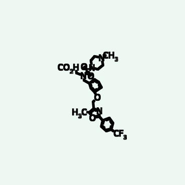 Cc1oc(-c2ccc(C(F)(F)F)cc2)nc1COc1cccc(CN(CC(=O)O)S(=O)(=O)N2CCN(C)CC2)c1